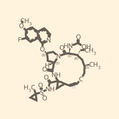 CC[C@@H]1C[C@@H](C)CC/C=C\C2CC2(C(=O)NS(=O)(=O)C2(C)CC2)NC(=O)[C@@H]2C[C@@H](Oc3nccc4cc(OC)c(F)cc34)CN2C(=O)[C@H]1NC(=O)O